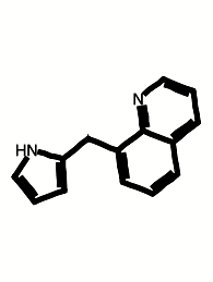 [CH](c1ccc[nH]1)c1cccc2cccnc12